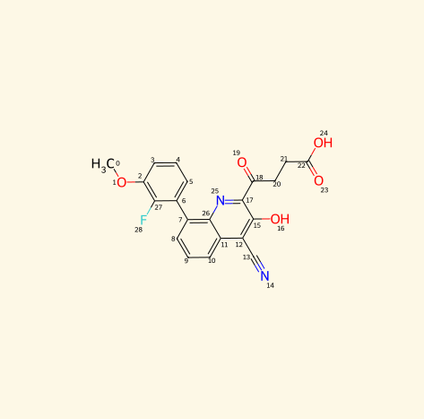 COc1cccc(-c2cccc3c(C#N)c(O)c(C(=O)CCC(=O)O)nc23)c1F